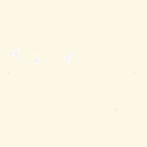 CCOc1cc(-c2cc(=O)n3cc(N4CCN[C@@H](C)C4)ccc3c2)ccc1C